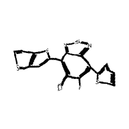 Fc1c(Cl)c(-c2cc3sccc3s2)c2nsnc2c1-c1cccs1